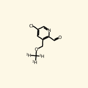 [2H]C([2H])([2H])OCc1cc(Cl)cnc1C=O